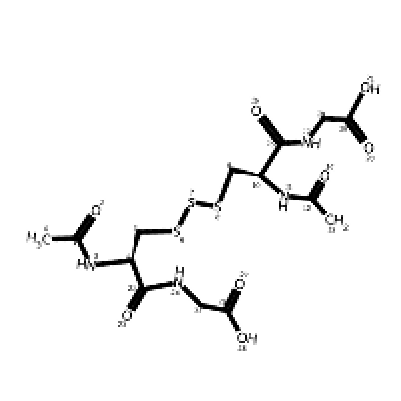 CC(=O)N[C@@H](CSSSC[C@H](NC(C)=O)C(=O)NCC(=O)O)C(=O)NCC(=O)O